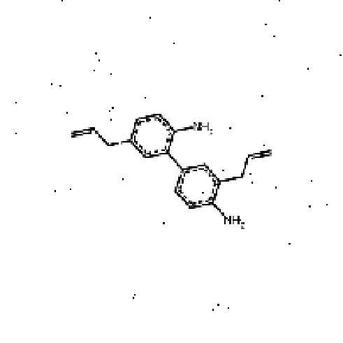 C=CCc1ccc(N)c(-c2ccc(N)c(CC=C)c2)c1